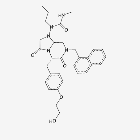 CCCN(C(=O)NC)N1CC(=O)N2C1CN(Cc1cccc3ccccc13)C(=O)[C@@H]2Cc1ccc(OCCO)cc1